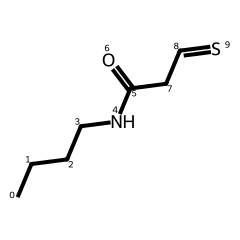 CCCCNC(=O)CC=S